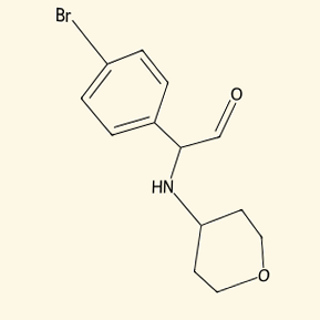 O=CC(NC1CCOCC1)c1ccc(Br)cc1